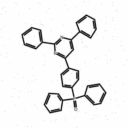 O=P(c1ccccc1)(c1ccccc1)c1ccc(-c2cc(-c3ccccc3)nc(-c3ccccc3)n2)cc1